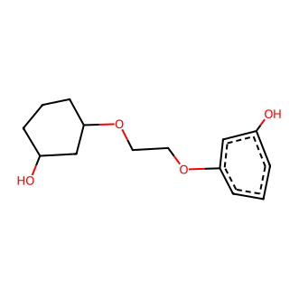 Oc1cccc(OCCOC2CCCC(O)C2)c1